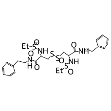 CCS(=O)(=O)NC(CSSCC(NS(=O)(=O)CC)C(=O)NCCc1ccccc1)C(=O)NCCc1ccccc1